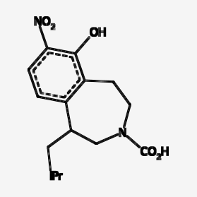 CC(C)CC1CN(C(=O)O)CCc2c1ccc([N+](=O)[O-])c2O